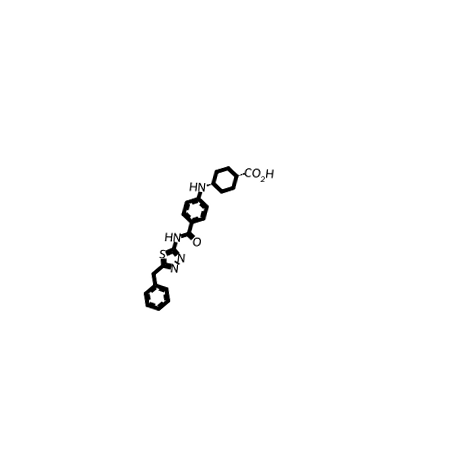 O=C(Nc1nnc(Cc2ccccc2)s1)c1ccc(N[C@H]2CC[C@@H](C(=O)O)CC2)cc1